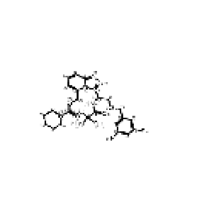 CC(C)(N)C(=O)N[C@H](COCc1cc(F)cc(F)c1)c1nnc2cccc(COC(=O)N3CCCCC3)n12